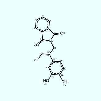 O=C1c2ccccc2C(=O)N1C/C(=C/F)c1ccc(O)c(O)c1